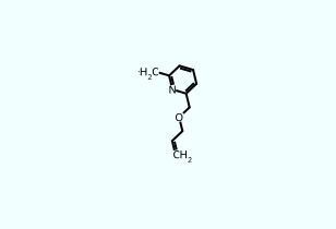 [CH2]c1cccc(COCC=C)n1